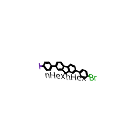 CCCCCCC1(CCCCCC)c2cc(-c3ccc(Br)cc3)ccc2-c2ccc(-c3ccc(I)cc3)cc21